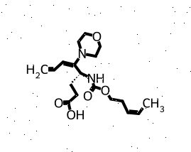 C=C/C=C(\[C@@H](CCC(=O)O)NC(=O)OCC/C=C\C)N1CCOCC1